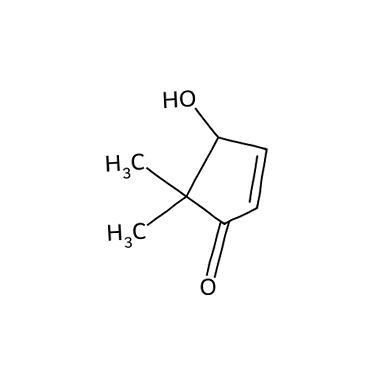 CC1(C)C(=O)C=CC1O